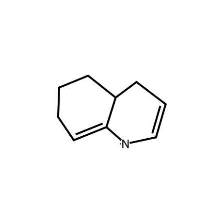 C1=C[N]C2=CCCCC2C1